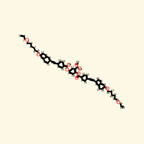 C=CCOCCCCCCOc1ccc2cc(C#Cc3ccc(C(=O)Oc4ccc(OC(=O)c5ccc(C#Cc6ccc7cc(OCCCCCCOCC=C)ccc7c6)cc5)c(C(=O)OC)c4)cc3)ccc2c1